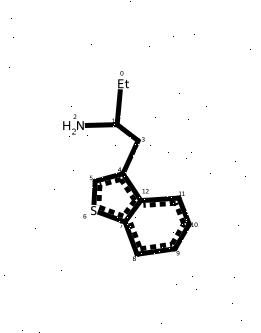 CCC(N)Cc1csc2ccccc12